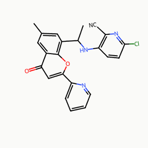 Cc1cc(C(C)Nc2ccc(Cl)nc2C#N)c2oc(-c3ccccn3)cc(=O)c2c1